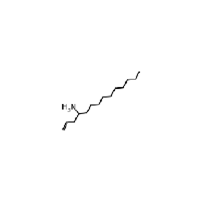 C=CCC(N)CCCCCCCCCC